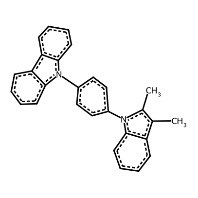 Cc1c(C)n(-c2ccc(-n3c4ccccc4c4ccccc43)cc2)c2ccccc12